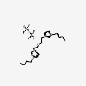 CCCCn1cc[n+](CCOCC[n+]2ccn(CCCC)c2)c1.F[B-](F)(F)F.F[B-](F)(F)F